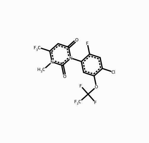 Cn1c(C(F)(F)F)cc(=O)n(-c2cc(OC(F)(F)C(F)(F)F)c(Cl)cc2F)c1=O